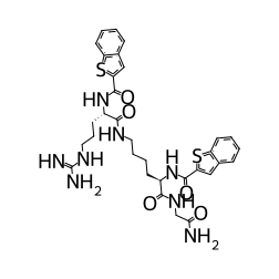 N=C(N)NCCC[C@H](NC(=O)c1cc2ccccc2s1)C(=O)NCCCC[C@@H](NC(=O)c1cc2ccccc2s1)C(=O)NCC(N)=O